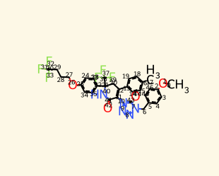 COc1ccc(Cn2nnn(C3=C(c4ccc(C)cc4)CC(c4ccc(OCCCC(F)(F)F)cc4)(C(F)(F)F)NC3=O)c2=O)cc1